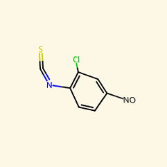 O=Nc1ccc(N=C=S)c(Cl)c1